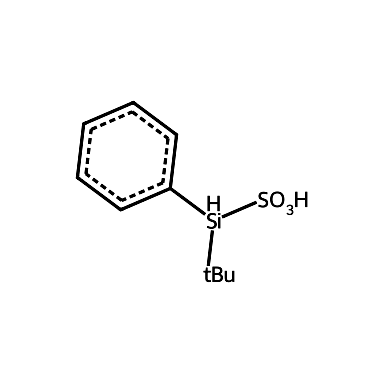 CC(C)(C)[SiH](c1ccccc1)S(=O)(=O)O